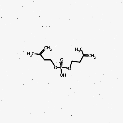 C=C(C)CCOP(=O)(O)OCCC(=C)C